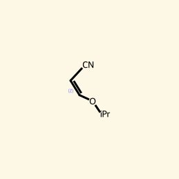 CC(C)O/C=C\C#N